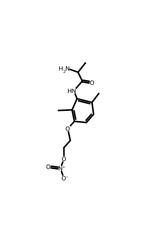 Cc1ccc(OCCO[N+](=O)[O-])c(C)c1NC(=O)C(C)N